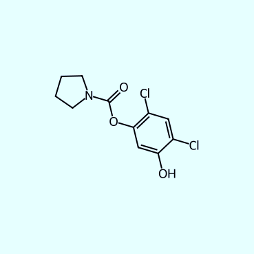 O=C(Oc1cc(O)c(Cl)cc1Cl)N1CCCC1